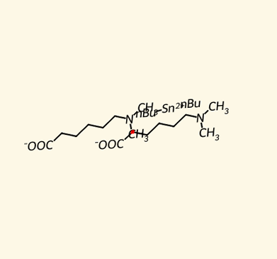 CCC[CH2][Sn+2][CH2]CCC.CN(C)CCCCCC(=O)[O-].CN(C)CCCCCC(=O)[O-]